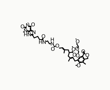 COCCOCOc1c(C/C=C(\C)CC(C/C(C)=C/COC(=O)NCCNC(=O)CCCc2nc3c(=O)n(C)c(=O)n(C)c3[nH]2)C(=O)OC)c(OC)c(C)c2c1C(=O)OC2